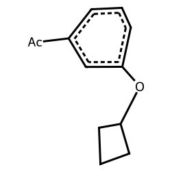 [CH2]C(=O)c1cccc(OC2CCC2)c1